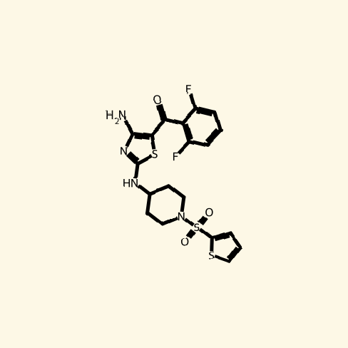 Nc1nc(NC2CCN(S(=O)(=O)c3cccs3)CC2)sc1C(=O)c1c(F)cccc1F